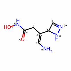 N/C=C(/CC(=O)NO)C1C=NN1